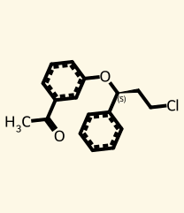 CC(=O)c1cccc(O[C@@H](CCCl)c2ccccc2)c1